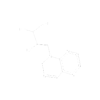 OC(O)C(O)CN1CN=Cc2nccnc21